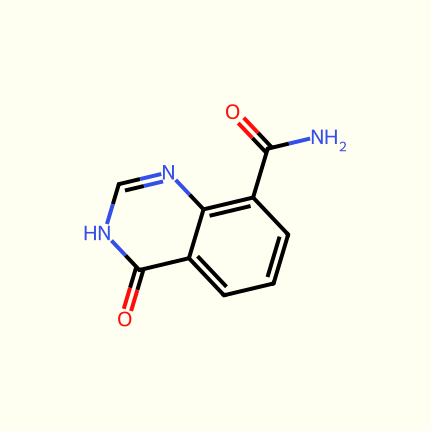 NC(=O)c1cccc2c(=O)[nH]cnc12